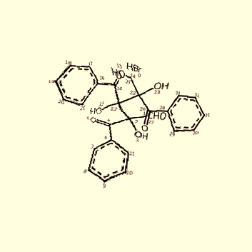 Br.O=CC(O)(C(=O)c1ccccc1)C(O)(C(=O)c1ccccc1)C(O)(CO)C(=O)c1ccccc1